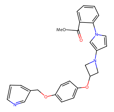 COC(=O)c1ccccc1-n1ccc(N2CC(Oc3ccc(OCc4cccnc4)cc3)C2)c1